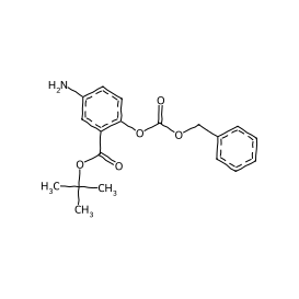 CC(C)(C)OC(=O)c1cc(N)ccc1OC(=O)OCc1ccccc1